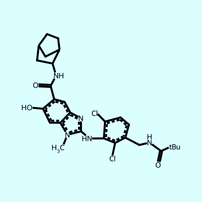 Cn1c(Nc2c(Cl)ccc(CNC(=O)C(C)(C)C)c2Cl)nc2cc(C(=O)NC3CC4CCC3C4)c(O)cc21